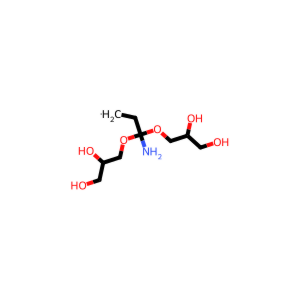 [CH2]CC(N)(OCC(O)CO)OCC(O)CO